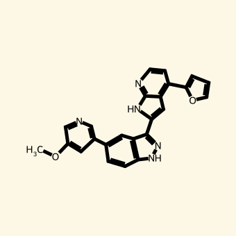 COc1cncc(-c2ccc3[nH]nc(-c4cc5c(-c6ccco6)ccnc5[nH]4)c3c2)c1